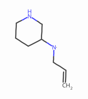 C=CC[N]C1CCCNC1